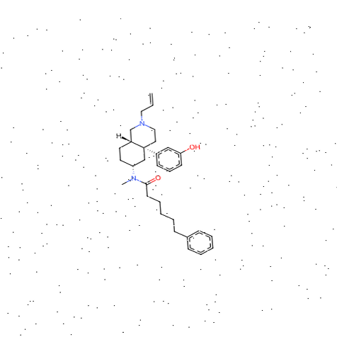 C=CCN1CC[C@@]2(c3cccc(O)c3)C[C@H](N(C)C(=O)CCCCCc3ccccc3)CC[C@@H]2C1